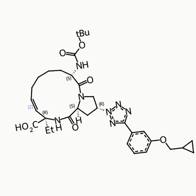 CC[C@]1(C(=O)O)/C=C\CCCC[C@H](NC(=O)OC(C)(C)C)C(=O)N2C[C@H](n3nnc(-c4cccc(OCC5CC5)c4)n3)C[C@H]2C(=O)N1